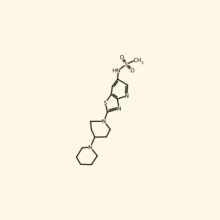 CS(=O)(=O)Nc1cnc2nc(N3CCC(N4CCCCC4)CC3)sc2c1